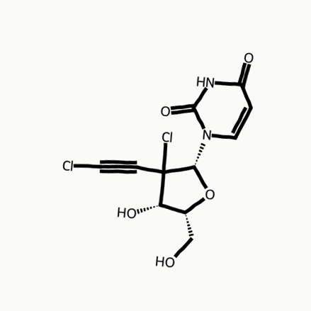 O=c1ccn([C@@H]2O[C@H](CO)[C@H](O)C2(Cl)C#CCl)c(=O)[nH]1